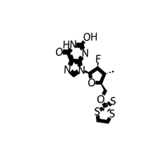 C[C@H]1[C@@H](F)[C@H](n2cnc3c(=O)[nH]c(O)nc32)O[C@@H]1COP1(=S)SCCS1